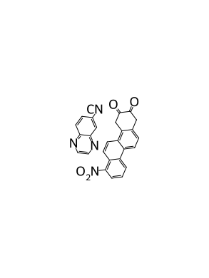 N#Cc1ccc2nccnc2c1.O=C1Cc2ccc3c(ccc4c([N+](=O)[O-])cccc43)c2CC1=O